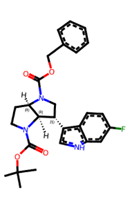 CC(C)(C)OC(=O)N1CC[C@@H]2[C@H]1[C@@H](c1c[nH]c3cc(F)ccc13)CN2C(=O)OCc1ccccc1